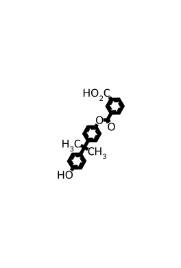 CC(C)(c1ccc(O)cc1)c1ccc(OC(=O)c2cccc(C(=O)O)c2)cc1